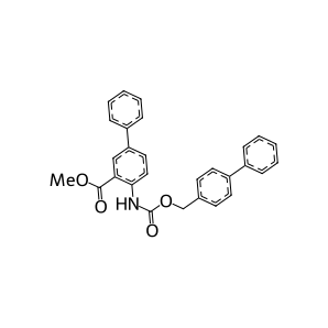 COC(=O)c1cc(-c2ccccc2)ccc1NC(=O)OCc1ccc(-c2ccccc2)cc1